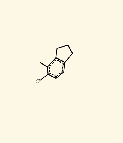 Cc1c(Cl)ccc2c1CCC2